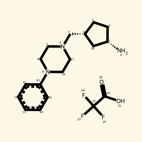 N[C@H]1CC[C@@H](CN2CCN(c3ccccc3)CC2)C1.O=C(O)C(F)(F)F